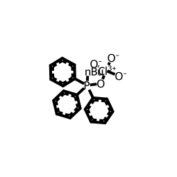 CCCCP(O[Cl+3]([O-])([O-])[O-])(c1ccccc1)(c1ccccc1)c1ccccc1